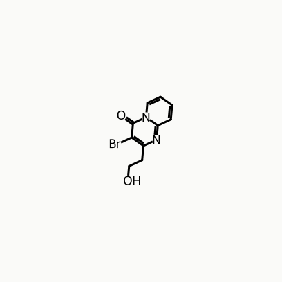 O=c1c(Br)c(CCO)nc2ccccn12